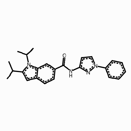 CC(C)c1cc2ccc(C(=O)Nc3ccn(-c4ccccc4)n3)cc2n1C(C)C